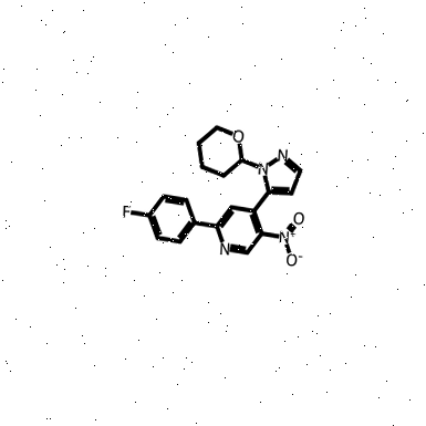 O=[N+]([O-])c1cnc(-c2ccc(F)cc2)cc1-c1ccnn1C1CCCCO1